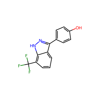 Oc1ccc(-c2n[nH]c3c(C(F)(F)F)cccc23)cc1